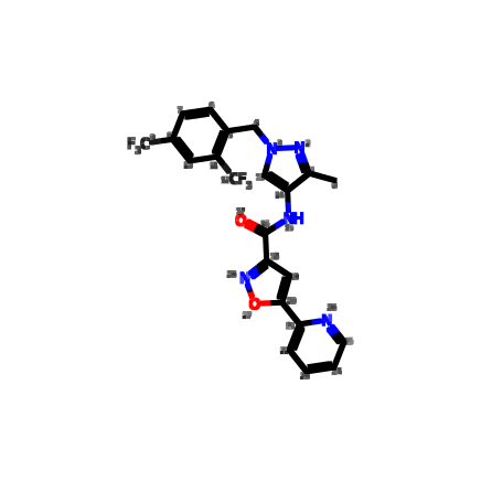 Cc1nn(Cc2ccc(C(F)(F)F)cc2C(F)(F)F)cc1NC(=O)c1cc(-c2ccccn2)on1